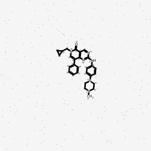 CN1CCN(c2ccc(Nc3ncc4c(=O)n(CC5CC5)cc(-c5ccccc5)c4n3)cc2)CC1